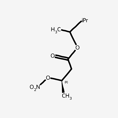 CC(C)C(C)OC(=O)C[C@@H](C)O[N+](=O)[O-]